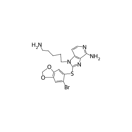 NCCCCCn1c(Sc2cc3c(cc2Br)OCO3)nc2c(N)nccc21